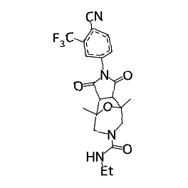 CCNC(=O)N1CC2(C)OC(C)(C1)C1C(=O)N(c3ccc(C#N)c(C(F)(F)F)c3)C(=O)C12